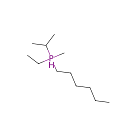 CCCCCC[PH](C)(CC)C(C)C